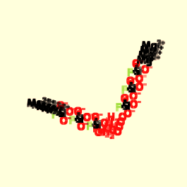 O.O.O.O.O.O.[Mg+2].[Mg+2].[Mg+2].[Mg+2].[Mg+2].[Mg+2].[Mg+2].[Mg+2].[Mg+2].[O-][Si]([O-])([O-])F.[O-][Si]([O-])([O-])F.[O-][Si]([O-])([O-])F.[O-][Si]([O-])([O-])F.[O-][Si]([O-])([O-])F.[O-][Si]([O-])([O-])F